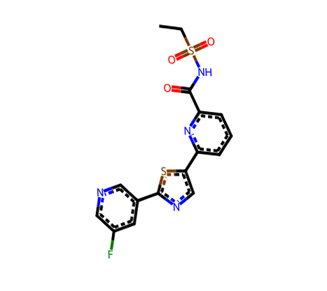 CCS(=O)(=O)NC(=O)c1cccc(-c2cnc(-c3cncc(F)c3)s2)n1